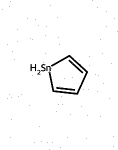 C1=[CH][SnH2][CH]=C1